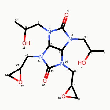 CC(O)CN1C(=O)N(CC(C)O)C2C1N(CC1CO1)C(=O)N2CC1CO1